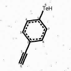 [C]#Cc1ccc([TeH])cc1